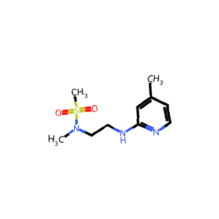 Cc1ccnc(NCCN(C)S(C)(=O)=O)c1